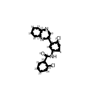 O=C(Nc1ccc(Cl)c(-c2cnc3ccccc3n2)c1)c1ccccc1Cl